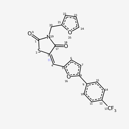 O=C1S/C(=C/c2ccc(-c3ccc(C(F)(F)F)cc3)o2)C(=O)N1Cc1ccco1